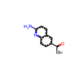 CC(C)(C)C(=O)c1ccc2nc(N)ccc2c1